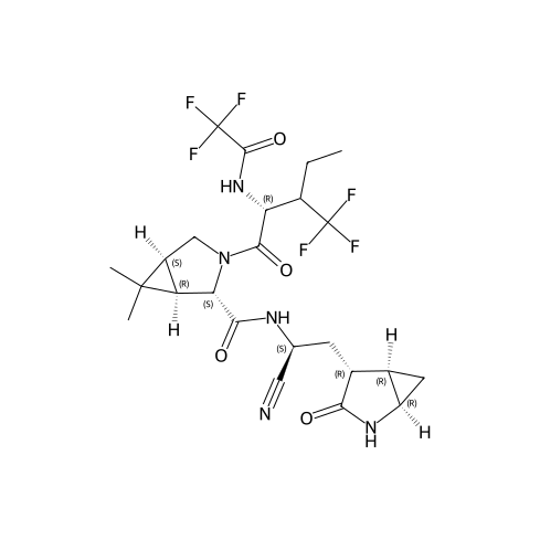 CCC([C@@H](NC(=O)C(F)(F)F)C(=O)N1C[C@H]2[C@@H]([C@H]1C(=O)N[C@H](C#N)C[C@H]1C(=O)N[C@@H]3C[C@@H]31)C2(C)C)C(F)(F)F